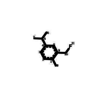 Cc1ccc(C(C)C)cc1CF